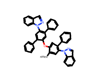 CCCCCCc1cc(-n2ncc3ccccc32)c(-c2ccccc2)cc1Oc1cc(-c2ccccc2)c(-n2ncc3ccccc32)cc1-c1ccccc1